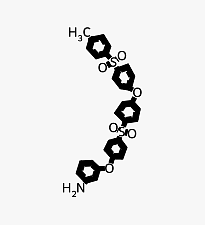 Cc1ccc(S(=O)(=O)c2ccc(Oc3ccc(S(=O)(=O)c4ccc(Oc5cccc(N)c5)cc4)cc3)cc2)cc1